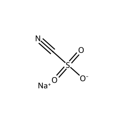 N#CS(=O)(=O)[O-].[Na+]